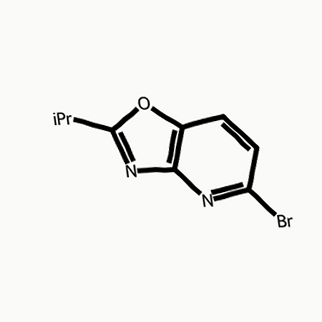 CC(C)c1nc2nc(Br)ccc2o1